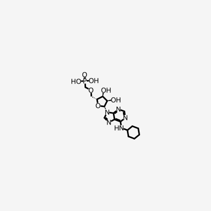 O=P(O)(O)COC[C@H]1O[C@@H](n2cnc3c(NC4CCCCC4)ncnc32)[C@H](O)[C@@H]1O